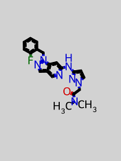 CN(C)C(=O)Cn1ccc(Nc2cc3c(cn2)cnn3Cc2ccccc2F)n1